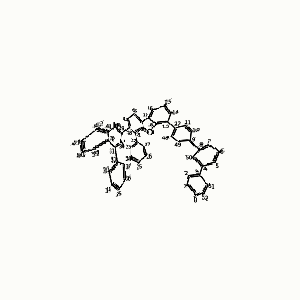 c1ccc(-c2cccc(-c3ccc(-c4cccc5c4oc4c(-c6ccccc6)c(-c6nc(-c7ccccc7)c7ccccc7n6)ccc45)cc3)c2)cc1